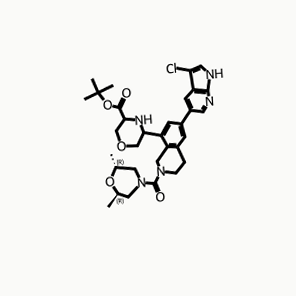 C[C@@H]1CN(C(=O)N2CCc3cc(-c4cnc5[nH]cc(Cl)c5c4)cc(C4COCC(C(=O)OC(C)(C)C)N4)c3C2)C[C@@H](C)O1